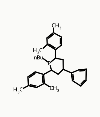 CCCCP1C(c2ccc(C)cc2C)CC(c2ccccc2)CC1c1ccc(C)cc1C